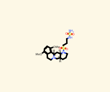 COc1ccc(OC)c2c1CCN1C[C@H]3CCCN(S(=O)(=O)CCCNS(N)(=O)=O)[C@H]3C[C@@H]21